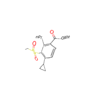 CCCc1c(C(=O)OC)ccc(C2CC2)c1S(C)(=O)=O